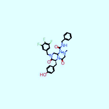 CN1CC(=O)N2C(CN(Cc3cc(F)c(F)c(F)c3)C(=O)[C@@H]2Cc2ccc(O)cc2)N1C(=O)NCc1ccccc1